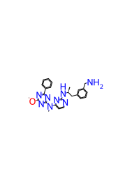 COc1nc(-c2ccccc2)nc(N(C)c2ccnc(N[C@@H](C)Cc3cccc(CN)c3)n2)n1